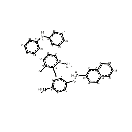 Cc1ccc(N)cc1.Cc1cccc(N)c1C.Nc1ccc2ccccc2c1.c1ccc(Nc2ccccc2)cc1